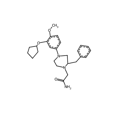 COc1ccc(N2CCN(CC(N)=O)C(Cc3ccccc3)C2)cc1OC1CCCC1